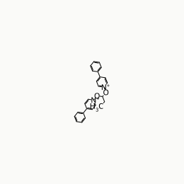 CCC(O[n+]1ccc(-c2ccccc2)cc1)O[n+]1ccc(-c2ccccc2)cc1